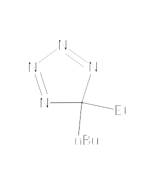 [CH2]CC1(CCCC)N=NN=N1